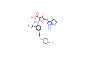 Cc1cc(C#CCN2CCN(C)CC2)ccc1NC1=C(C(=O)O)C(=O)/C(=C/c2c[nH]c3ncccc23)O1